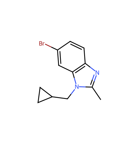 Cc1nc2ccc(Br)cc2n1CC1CC1